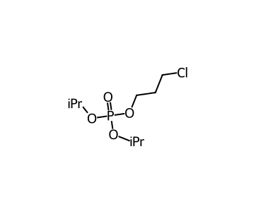 CC(C)OP(=O)(OCCCCl)OC(C)C